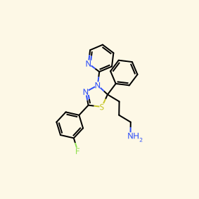 NCCCC1(c2ccccc2)SC(c2cccc(F)c2)=NN1c1ccccn1